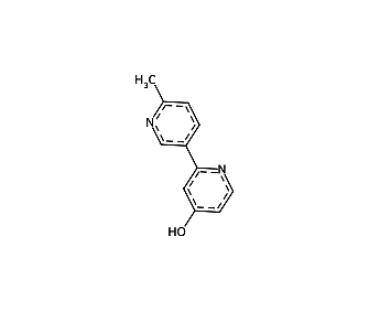 Cc1ccc(-c2cc(O)ccn2)cn1